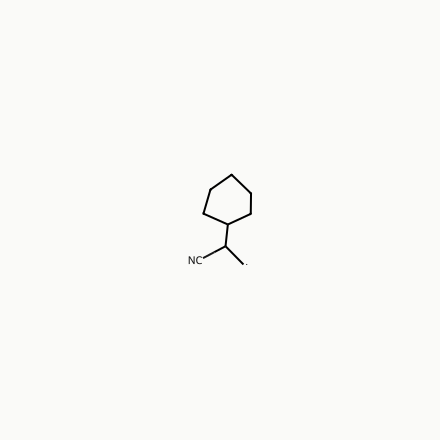 [CH2]C(C#N)C1CCCCC1